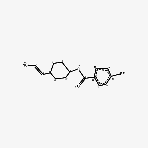 N#CC=CC1CCC(OC(=O)c2ccc(F)cc2)CC1